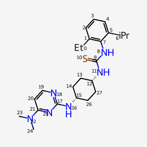 CCc1cccc(C(C)C)c1NC(=S)N[C@H]1CC[C@@H](Nc2nccc(N(C)C)n2)CC1